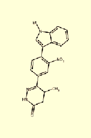 CCn1cc(-c2ccc(C3=NNC(=O)CC3C)cc2[N+](=O)[O-])c2ccccc21